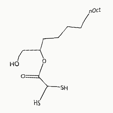 CCCCCCCCCCCCC(CO)OC(=O)C(S)S